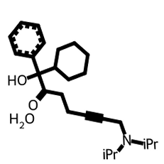 CC(C)N(CC#CCCC(=O)C(O)(c1ccccc1)C1CCCCC1)C(C)C.O